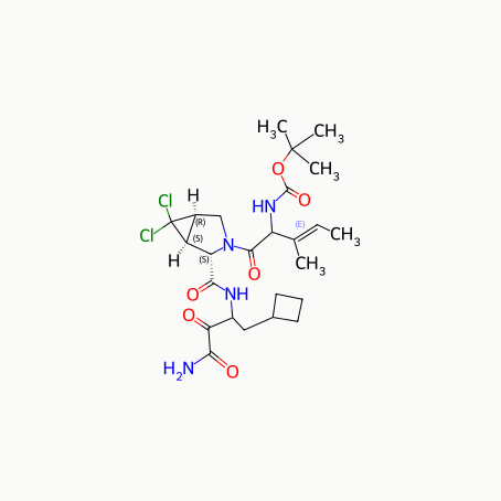 C/C=C(\C)C(NC(=O)OC(C)(C)C)C(=O)N1C[C@H]2[C@@H]([C@H]1C(=O)NC(CC1CCC1)C(=O)C(N)=O)C2(Cl)Cl